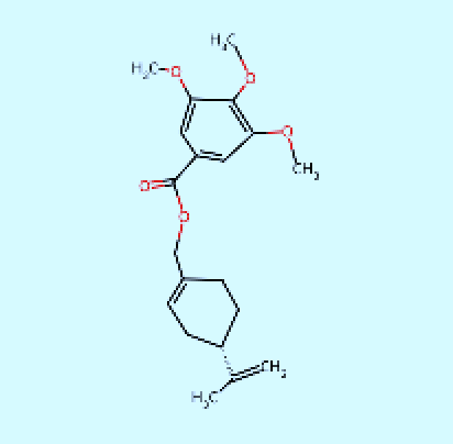 C=C(C)[C@@H]1CC=C(COC(=O)c2cc(OC)c(OC)c(OC)c2)CC1